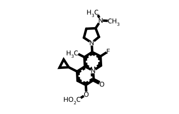 Cc1c(N2CCC(N(C)C)C2)c(F)cn2c(=O)c(OC(=O)O)cc(C3CC3)c12